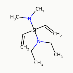 C=C[Si](C=C)(N(C)C)N(CC)CC